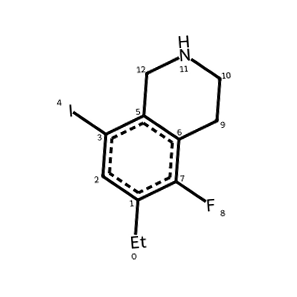 CCc1cc(I)c2c(c1F)CCNC2